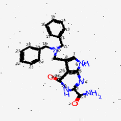 NC(=O)c1nc2[nH]cc(CN(Cc3ccccc3)Cc3ccccc3)c2c(=O)[nH]1